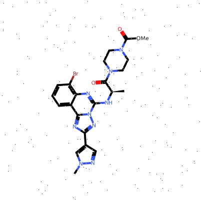 COC(=O)N1CCN(C(=O)[C@@H](C)Nc2nc3c(Br)cccc3c3nc(-c4cnn(C)c4)nn23)CC1